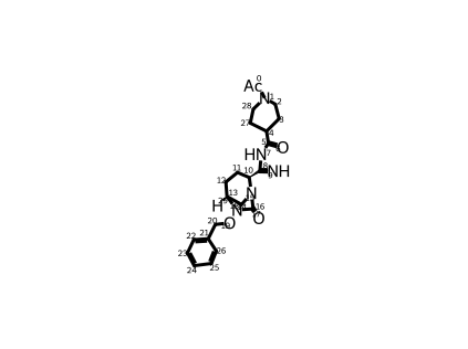 CC(=O)N1CCC(C(=O)NC(=N)[C@@H]2CC[C@@H]3CN2C(=O)N3OCc2ccccc2)CC1